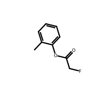 Cc1ccccc1OC(=O)CF